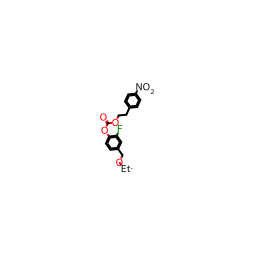 C[CH]OCc1ccc(OC(=O)OCCc2ccc([N+](=O)[O-])cc2)c(F)c1